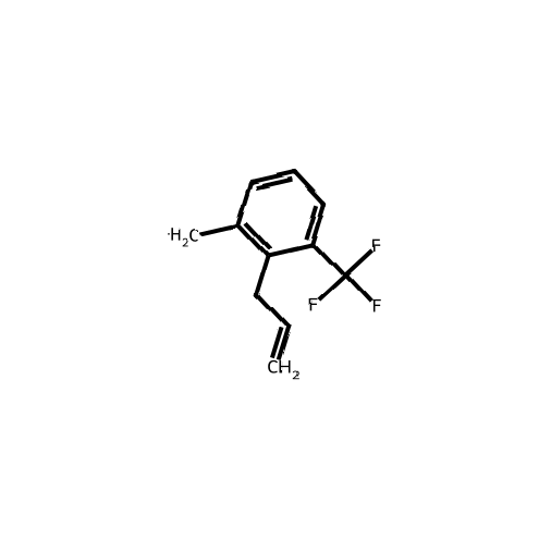 [CH2]c1cccc(C(F)(F)F)c1CC=C